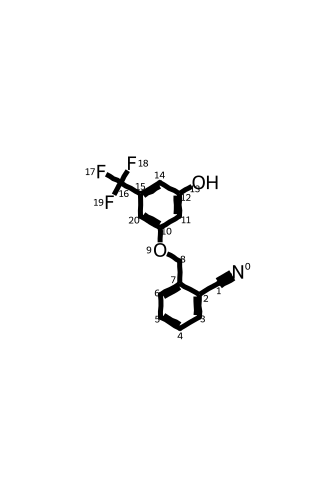 N#Cc1ccccc1COc1cc(O)cc(C(F)(F)F)c1